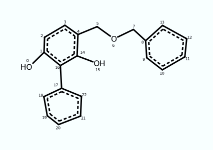 Oc1ccc(COCc2ccccc2)c(O)c1-c1ccccc1